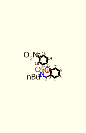 CCCCN(Cc1ccccc1)S(=O)(=O)c1cccc([N+](=O)[O-])c1